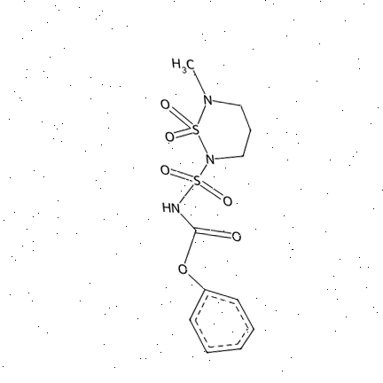 CN1CCCN(S(=O)(=O)NC(=O)Oc2ccccc2)S1(=O)=O